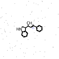 CC(/C=C/c1ccccc1)C1CNc2ccccc21